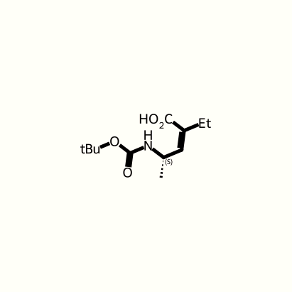 CCC(=C[C@H](C)NC(=O)OC(C)(C)C)C(=O)O